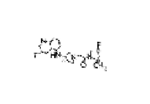 C[C@@H]1C[C@H](F)CN1C(=O)CN1CC[C@@H](Nc2cccc3ncc(F)cc23)C1